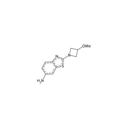 COC1CN(c2nc3ccc(N)cc3s2)C1